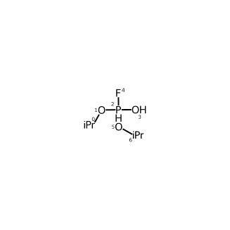 CC(C)O[PH](O)(F)OC(C)C